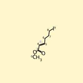 COC(=O)/C=C/CCCI